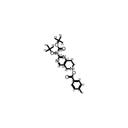 Cc1ccc(C(=O)ON2CCc3nc(N(OC(C)(C)C)C(=O)OC(C)(C)C)ncc3C2)cc1